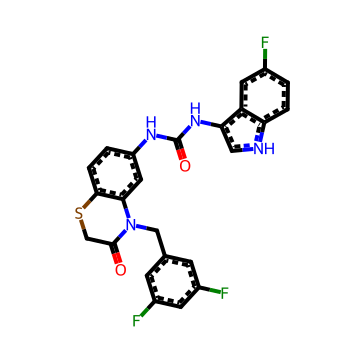 O=C(Nc1ccc2c(c1)N(Cc1cc(F)cc(F)c1)C(=O)CS2)Nc1c[nH]c2ccc(F)cc12